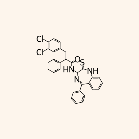 O=C(NC1N=C(c2ccccc2)c2ccccc2NC1=S)C(Cc1ccc(Cl)c(Cl)c1)c1ccccc1